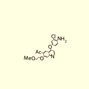 COCCOc1cc2nccc(Oc3ccc(N)c(Cl)c3)c2cc1C(C)=O